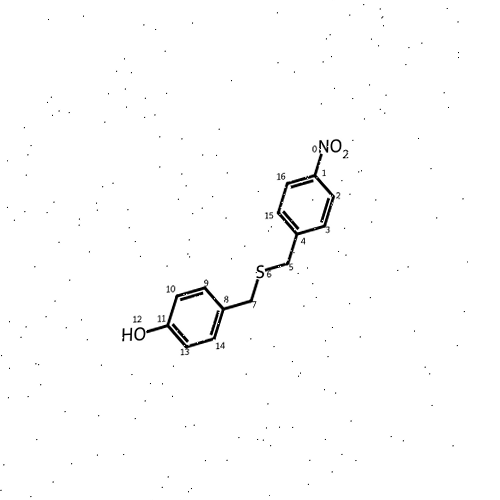 O=[N+]([O-])c1ccc(CSCc2ccc(O)cc2)cc1